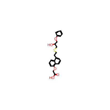 O=C(O)COc1cccc2c(CCSCC(O)COc3ccccc3)cccc12